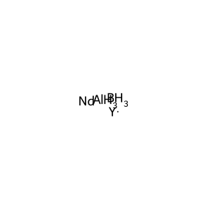 B.[AlH3].[Nd].[Y]